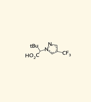 CC(C)(C)C(C(=O)O)n1cc(C(F)(F)F)cn1